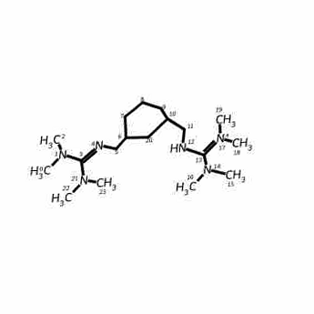 CN(C)C(=NCC1CCCC(CNC(N(C)C)=[N+](C)C)C1)N(C)C